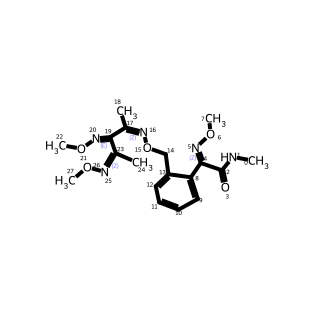 CNC(=O)/C(=N\OC)c1ccccc1CO\N=C(C)/C(=N/OC)C(/C)=N\OC